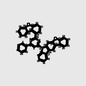 c1ccc(-c2cc(-n3c4ccccc4c4cc5c(cc43)oc3ccccc35)nc(-c3cccc4oc5ccccc5c34)n2)cc1